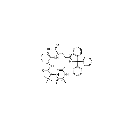 CC[C@H](NC(C)=O)C(=O)N[C@H](C(=O)N[C@@H](CC(C)C)C(=O)N[C@@H](CCC(=O)NC(c1ccccc1)(c1ccccc1)c1ccccc1)C(=O)O)C(C)(C)C